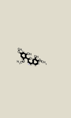 COc1cc(O)c(C(=O)/C=C\c2ccc(OC)c(O)c2)c(OC)c1